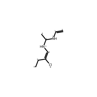 C=CNC(C)N/C=C(/Cl)CC